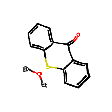 CCOCC.O=c1c2ccccc2sc2ccccc12